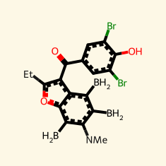 Bc1c(NC)c(B)c2oc(CC)c(C(=O)c3cc(Br)c(O)c(Br)c3)c2c1B